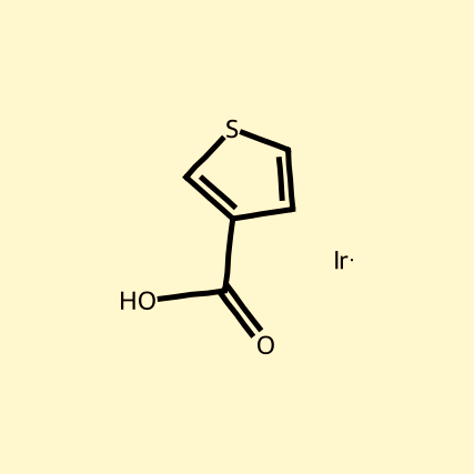 O=C(O)c1ccsc1.[Ir]